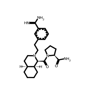 N=C(N)c1cccc(CCN2CC[C@@H]3CCCC[C@@H]3[C@@H]2C(=O)N2CCC[C@H]2C(N)=O)c1